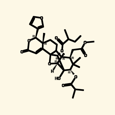 CCC(C)C(=O)O[C@H]1C23O[C@@H]4C1(O)[C@@H](OC(=O)C(C)C)C(C)(C)[C@H](CC(=O)OC)[C@@]4(C)C2CC[C@]1(C)C3=CC(=O)O[C@H]1c1ccoc1